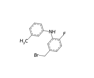 Cc1cccc(Nc2cc(CBr)ccc2F)c1